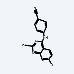 N#Cc1ccc(Nc2nc(S)nc3cc(F)ccc23)cc1